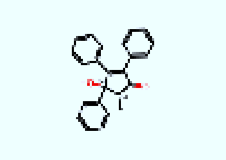 C[C@@H]1C(=O)C(c2ccccc2)=C(c2ccccc2)[C@@]1(O)c1ccccc1